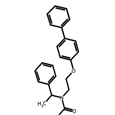 CNC(=O)N(CCOc1ccc(-c2ccccc2)cc1)C(C)c1ccccc1